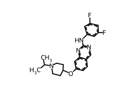 CC(C)N1CCC(Oc2ccc3cnc(Nc4cc(F)cc(F)c4)nc3c2)CC1